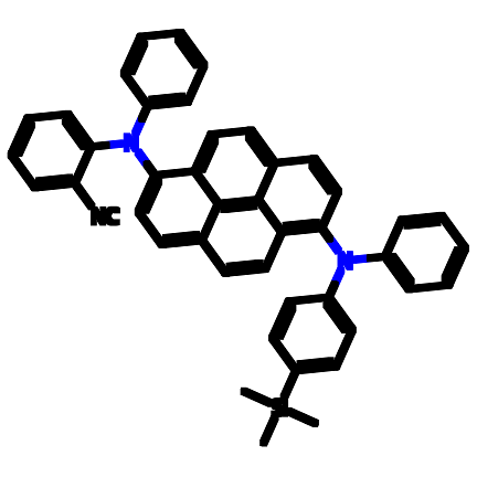 [C-]#[N+]c1ccccc1N(c1ccccc1)c1ccc2ccc3c(N(c4ccccc4)c4ccc([Si](C)(C)C)cc4)ccc4ccc1c2c43